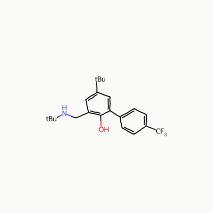 CC(C)(C)NCc1cc(C(C)(C)C)cc(-c2ccc(C(F)(F)F)cc2)c1O